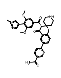 COc1cc(C(=O)[C@@H]2C(=O)c3cc(-c4ccc(C(N)=O)cn4)ccc3OC23CCNCC3)cc(OC)c1-c1cnn(C)c1